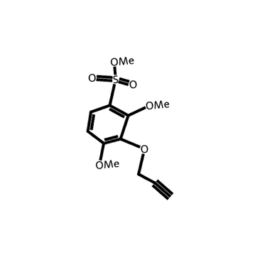 C#CCOc1c(OC)ccc(S(=O)(=O)OC)c1OC